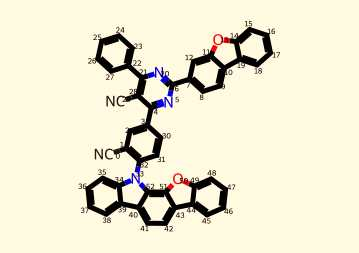 N#Cc1cc(-c2nc(-c3ccc4c(c3)oc3ccccc34)nc(-c3ccccc3)c2C#N)ccc1-n1c2ccccc2c2ccc3c4ccccc4oc3c21